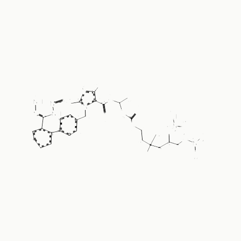 C=NN/C(=N\N)c1ccccc1-c1ccc(Cn2c(CCCC)nc(Cl)c2C(=O)OC(C)OC(=O)OCCC(C)(C)CC(CON(O)O)ON(O)O)cc1